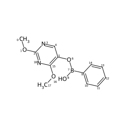 COc1ncc(OB(O)c2ccccc2)c(OC)n1